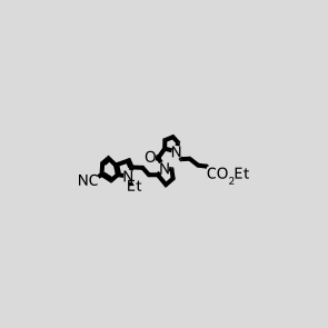 CCOC(=O)CCCCN1CCCC1C(=O)N1CCCC1CCc1cc2ccc(C#N)cc2n1CC